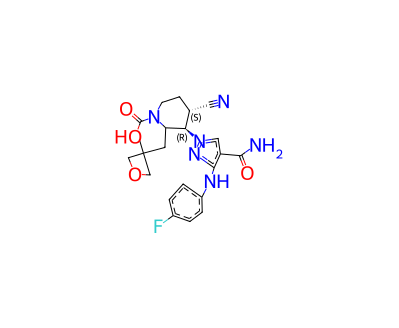 CC1(CC2[C@H](n3cc(C(N)=O)c(Nc4ccc(F)cc4)n3)[C@@H](C#N)CCN2C(=O)O)COC1